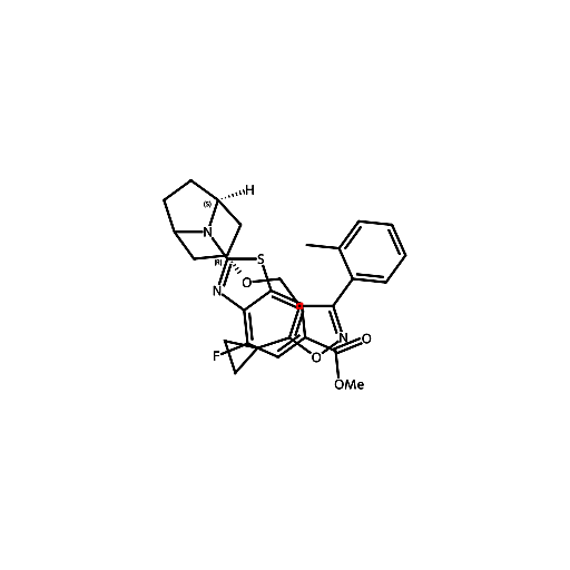 COC(=O)c1cc(F)c2nc(N3C4CC[C@H]3C[C@H](OCc3c(-c5ccccc5C)noc3C3CC3)C4)sc2c1